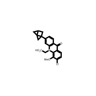 COc1c(Cl)ccc2c(=O)c3ccc(C45CC6CC64C5)cc3n(CC(=O)O)c12